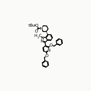 Cn1nc(-c2ccc(OCc3ccccc3)nc2OCc2ccccc2)c2cccc([C@@H]3CCCN(C(=O)OC(C)(C)C)C3)c21